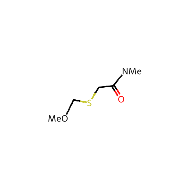 CNC(=O)CSCOC